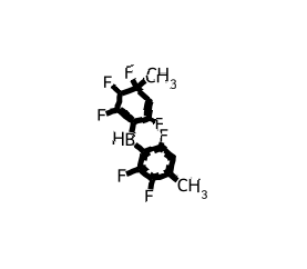 Cc1cc(F)c(BC2=C(F)C(F)C(C)(F)C=C2F)c(F)c1F